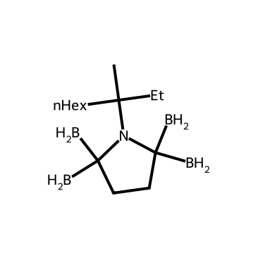 BC1(B)CCC(B)(B)N1C(C)(CC)CCCCCC